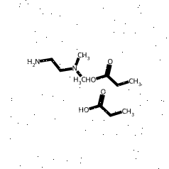 CCC(=O)O.CCC(=O)O.CN(C)CCN